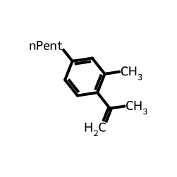 C=C(C)c1ccc(CCCCC)cc1C